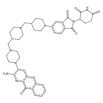 Nc1nc2c(=O)c3ccccc3oc2cc1N1CCN(CC2CCN(CC3CCN(c4ccc5c(c4)C(=O)N(C4CCC(=O)NC4=O)C5=O)CC3)CC2)CC1